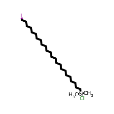 C[Si](C)(Cl)CCCCCCCCCCCCCCCCCCCCCCCCI